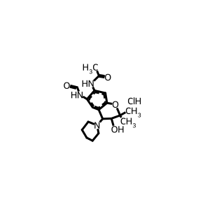 CC(=O)Nc1cc2c(cc1NC=O)C(N1CCCCC1)C(O)C(C)(C)O2.Cl